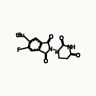 CC(C)(C)c1cc2c(cc1F)C(=O)N([C@H]1CCC(=O)NC1=O)C2=O